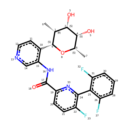 C[C@@H]1[C@H](O)[C@H](O)[C@H](C)O[C@@H]1c1ccncc1NC(=O)c1ccc(F)c(-c2c(F)cccc2F)n1